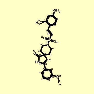 Cc1cc(N)ccc1/C=C/S(=O)(=O)N1CCC2(CC1)N=C(c1cccc(OF)c1)NC2=O